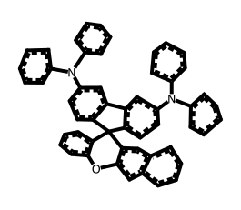 c1ccc(N(c2ccccc2)c2ccc3c(c2)-c2cc(N(c4ccccc4)c4ccccc4)ccc2C32c3ccccc3Oc3cc4ccccc4cc32)cc1